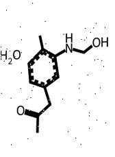 CC(=O)Cc1ccc(C)c(NCO)c1.O